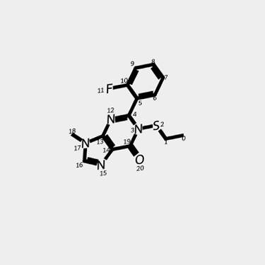 CCSn1c(-c2ccccc2F)nc2c(ncn2C)c1=O